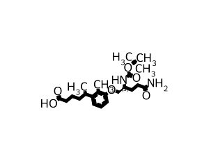 Cc1c(OC[C@H](CCC(N)=O)NC(=O)OC(C)(C)C)cccc1C(C)CCCC(=O)O